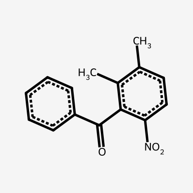 Cc1ccc([N+](=O)[O-])c(C(=O)c2ccccc2)c1C